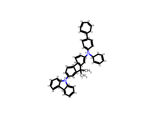 CC1(C)c2cc(N(c3ccc(C4=CC=CC=CC4)cc3)C3C=CC=CC3)ccc2-c2ccc(-n3c4ccccc4c4ccccc43)cc21